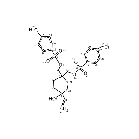 C=CC1(O)CCC(COS(=O)(=O)c2ccc(C)cc2)(COS(=O)(=O)c2ccc(C)cc2)CC1